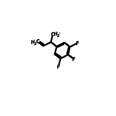 [CH2]C(C=C)c1cc(F)c(F)c(F)c1